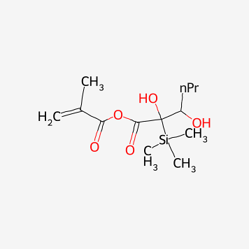 C=C(C)C(=O)OC(=O)C(O)(C(O)CCC)[Si](C)(C)C